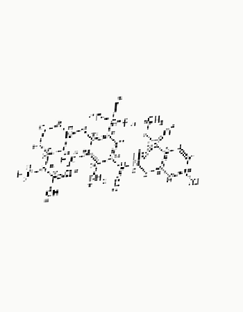 CCS(=O)(=O)c1ccc(Cl)cc1CNC(=O)c1cc(C(F)(F)F)c(CN2CCC[C@H](N(C)C(=O)O)C2)c(C)c1N